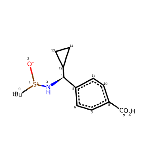 CC(C)(C)[S+]([O-])N[C@H](c1ccc(C(=O)O)cc1)C1CC1